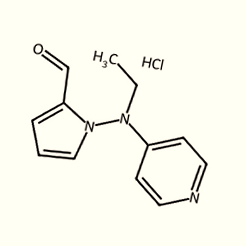 CCN(c1ccncc1)n1cccc1C=O.Cl